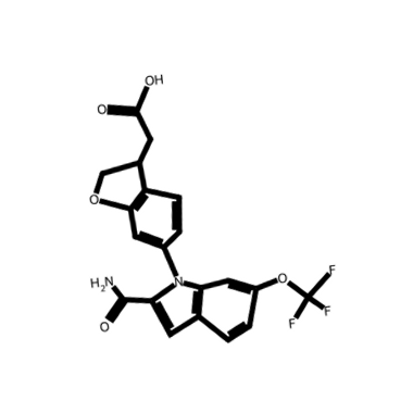 NC(=O)c1cc2ccc(OC(F)(F)F)cc2n1-c1ccc2c(c1)OCC2CC(=O)O